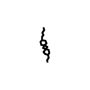 CCCCCC1CCC2(CC1)CC1(CCC(CCC)CC1)C2